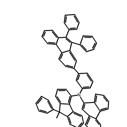 CC1(c2ccccc2)c2ccccc2-c2c(N(c3cccc(-c4ccc5c(c4)c(-c4ccccc4)c(-c4ccccc4)c4ccccc45)c3)c3cc4ccccc4c4ccccc34)cccc21